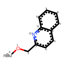 CCCCOCc1ccc2ccccc2n1